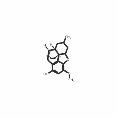 COc1cc(O)c2c3c1OC1CC(C)C[C@H]4[C@@H](C2)NCC[C@]314